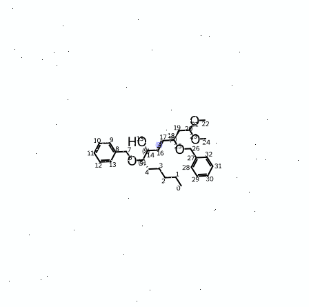 CCCCC[C@H](OCc1ccccc1)[C@H](O)/C=C/[C@@H](CC(OC)OC)OCc1ccccc1